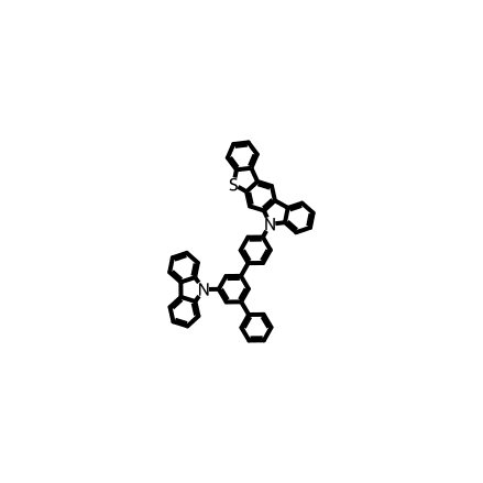 c1ccc(-c2cc(-c3ccc(-n4c5ccccc5c5cc6c(cc54)sc4ccccc46)cc3)cc(-n3c4ccccc4c4ccccc43)c2)cc1